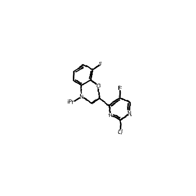 CC(C)N1CC(c2nc(Cl)ncc2F)Oc2c(F)cccc21